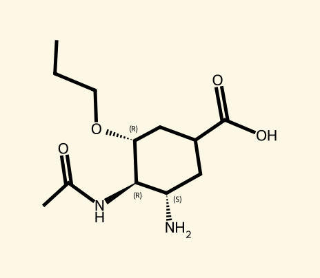 CCCO[C@@H]1CC(C(=O)O)C[C@H](N)[C@H]1NC(C)=O